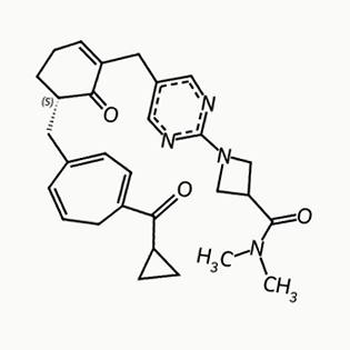 CN(C)C(=O)C1CN(c2ncc(CC3=CCC[C@@H](CC4=CC=C(C(=O)C5CC5)CC=C4)C3=O)cn2)C1